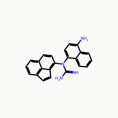 N=C(N)N(c1ccc2cccc3c2c1C=C3)c1ccc(N)c2ccccc12